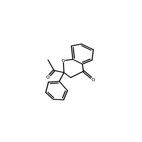 CC(=O)C1(c2ccccc2)CC(=O)c2ccccc2O1